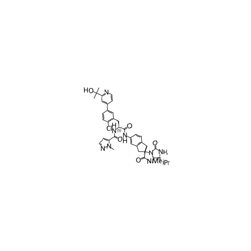 CNC(=O)C1(N2C[C@@H](C(C)C)NC2=O)Cc2ccc(NC(=O)[C@H](Cc3cc(-c4ccnc(C(C)(C)O)c4)ccc3Cl)NC(=O)c3ccnn3C)cc2C1